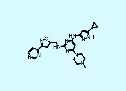 CN1CCN(c2cc(Nc3cc(C4CC4)[nH]n3)nc(NCC3CC(c4ccncn4)=NO3)n2)CC1